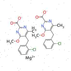 COc1nc(C(=O)[O-])nc(C)c1Cc1ccccc1Cl.COc1nc(C(=O)[O-])nc(C)c1Cc1ccccc1Cl.[Mg+2]